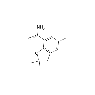 CC1(C)Cc2cc(I)cc(C(N)=O)c2O1